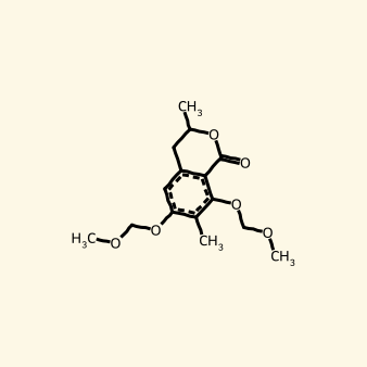 COCOc1cc2c(c(OCOC)c1C)C(=O)OC(C)C2